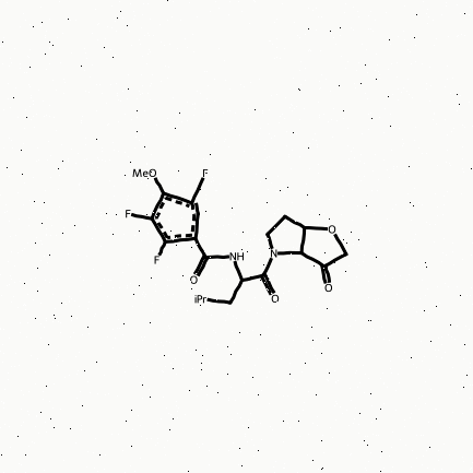 COc1c(F)cc(C(=O)NC(CC(C)C)C(=O)N2CCC3OCC(=O)C32)c(F)c1F